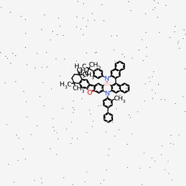 Cc1cc(-c2ccccc2)ccc1N1c2cc3oc4cc5c(cc4c3cc2B2c3c1cc1ccccc1c3-c1cc3ccccc3cc1N2c1ccc(C(C)(C)C)cc1)C(C)(C)CCC5(C)C